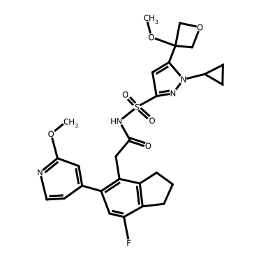 COc1cc(-c2cc(F)c3c(c2CC(=O)NS(=O)(=O)c2cc(C4(OC)COC4)n(C4CC4)n2)CCC3)ccn1